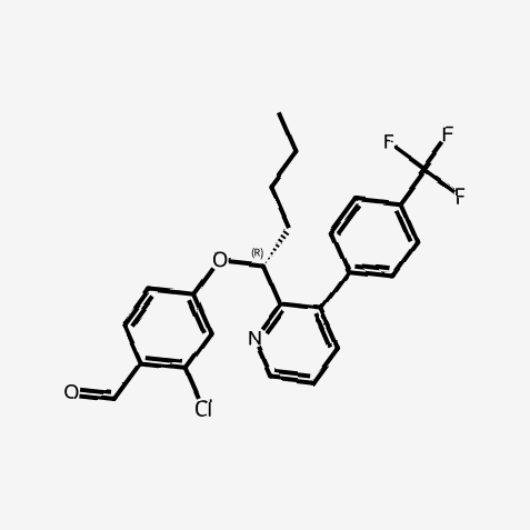 CCCC[C@@H](Oc1ccc(C=O)c(Cl)c1)c1ncccc1-c1ccc(C(F)(F)F)cc1